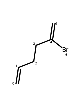 C=CCCC(=C)Br